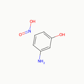 Nc1cccc(O)c1.O=NO